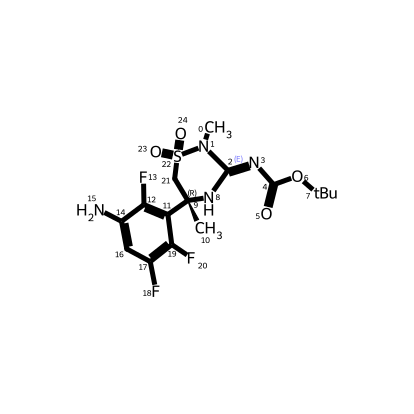 CN1/C(=N/C(=O)OC(C)(C)C)N[C@](C)(c2c(F)c(N)cc(F)c2F)CS1(=O)=O